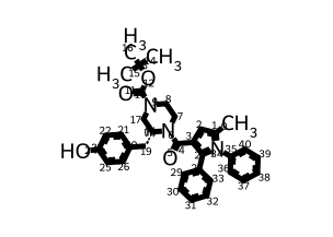 Cc1cc(C(=O)N2CCN(C(=O)OC(C)(C)C)C[C@H]2Cc2ccc(O)cc2)c(-c2ccccc2)n1-c1ccccc1